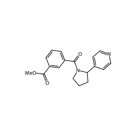 COC(=O)c1cccc(C(=O)N2CCCC2c2ccncc2)c1